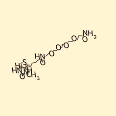 CN1C(=O)N[C@H]2CS[C@@H](CCCCC(=O)NCCOCCOCCOCCOCCC(N)=O)[C@H]21